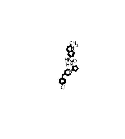 Cc1ccc2cc(NC(=O)NC3CCCC3N3CCC(Cc4ccc(Cl)cc4)CC3)ccc2n1